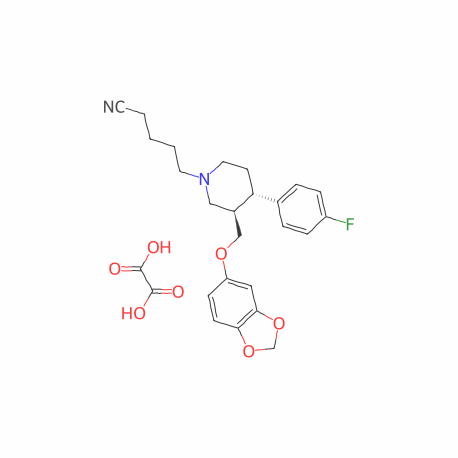 N#CCCCCN1CC[C@H](c2ccc(F)cc2)[C@@H](COc2ccc3c(c2)OCO3)C1.O=C(O)C(=O)O